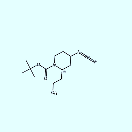 CC(C)(C)OC(=O)N1CCC(N=[N+]=[N-])C[C@H]1CCO